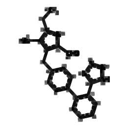 CCCCc1c(Cc2ccc(-c3ccccc3-c3nnn[nH]3)cc2)c(C=O)nn1CC(F)(F)F